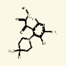 CCC1(C)CCN(c2c(Br)c(C)nc(C)c2C(=O)C(=O)OC(C)C)CC1